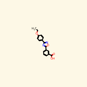 CCOc1ccc(-c2noc(-c3cccc(C(=O)O)c3)n2)cc1